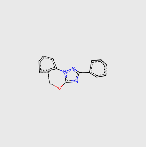 c1ccc(-c2nc3n(n2)-c2ccccc2CO3)cc1